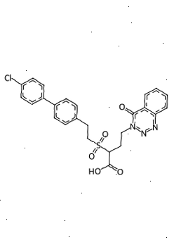 O=C(O)C(CCn1nnc2ccccc2c1=O)S(=O)(=O)CCc1ccc(-c2ccc(Cl)cc2)cc1